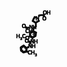 COc1cc(C(CC2CCN(CC(=O)O)C2)NC(C)=O)ccc1NC(=O)Nc1ccccc1C